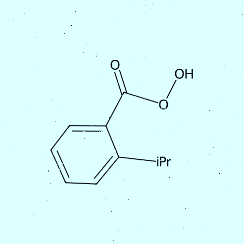 CC(C)c1ccccc1C(=O)OO